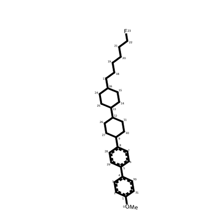 COc1ccc(-c2ccc(C3CCC(C4CCC(CCCCCCF)CC4)CC3)cc2)cc1